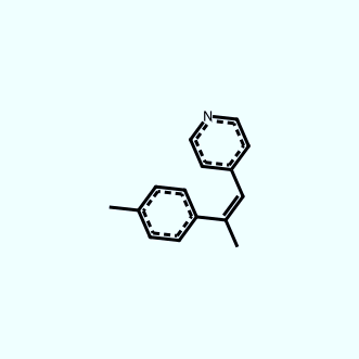 CC(=Cc1ccncc1)c1ccc(C)cc1